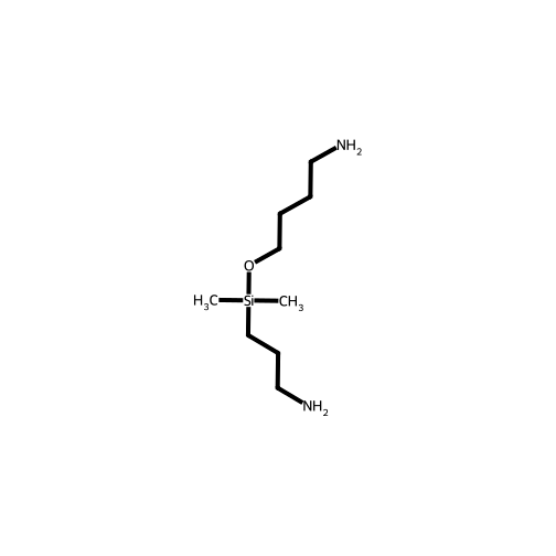 C[Si](C)(CCCN)OCCCCN